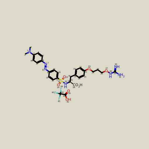 CN(C)c1ccc(/N=N/c2ccc(S(=O)(=O)N[C@@H](Cc3ccc(OCCCONC(=N)N)cc3)C(=O)O)cc2)cc1.O=C(O)C(F)(F)F